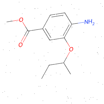 CCC(C)Oc1cc(C(=O)OC)ccc1N